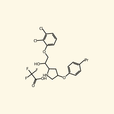 CC(C)c1ccc(OC2CNC(C(O)COc3cccc(Cl)c3Cl)C2)cc1.O=C(O)C(F)(F)F